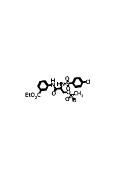 CCOC(=O)c1cccc(NC(=O)C(COS(C)(=O)=O)NS(=O)(=O)c2ccc(Cl)cc2)c1